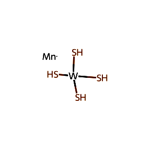 [Mn].[SH][W]([SH])([SH])[SH]